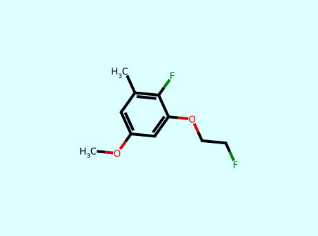 COc1cc(C)c(F)c(OCCF)c1